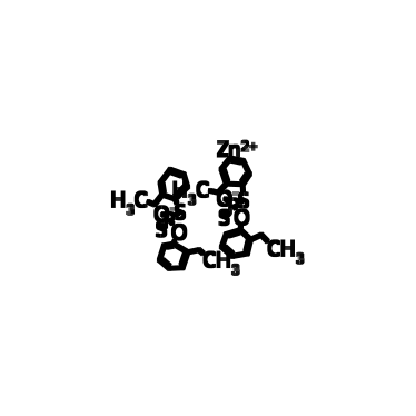 CCc1ccccc1OP([O-])(=S)Sc1ccccc1CC.CCc1ccccc1OP([O-])(=S)Sc1ccccc1CC.[Zn+2]